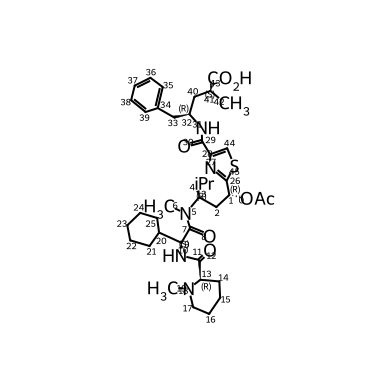 CC(=O)O[C@H](C[C@H](C(C)C)N(C)C(=O)[C@@H](NC(=O)[C@H]1CCCCN1C)C1CCCCC1)c1nc(C(=O)N[C@@H](Cc2ccccc2)C[C@H](C)C(=O)O)cs1